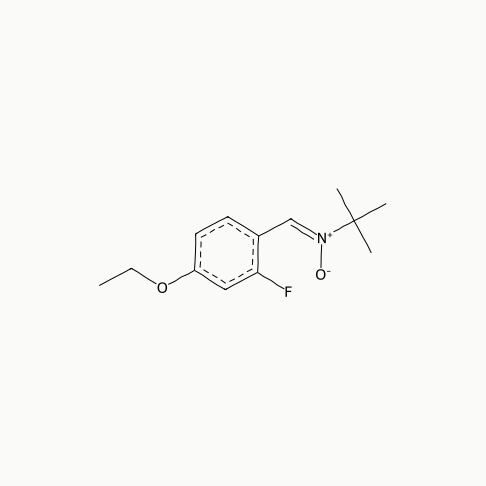 CCOc1ccc(C=[N+]([O-])C(C)(C)C)c(F)c1